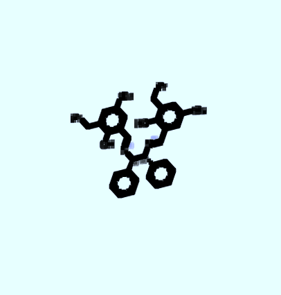 CC(C)Cc1cc(C(C)(C)C)cc(/C=N/[C@H](c2ccccc2)[C@H](/N=C/c2cc(C(C)(C)C)cc(CC(C)C)c2O)c2ccccc2)c1O